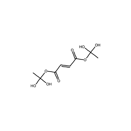 CC(O)(O)OC(=O)/C=C/C(=O)OC(C)(O)O